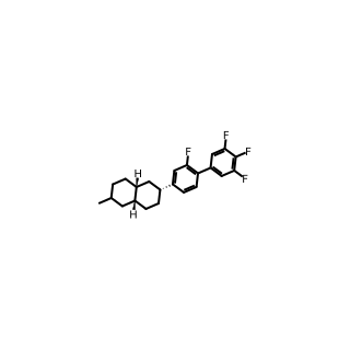 CC1CC[C@@H]2C[C@H](c3ccc(-c4cc(F)c(F)c(F)c4)c(F)c3)CC[C@@H]2C1